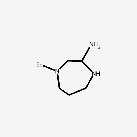 CCN1CCCNC(N)C1